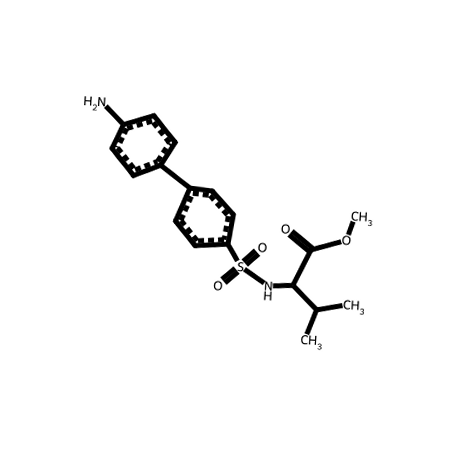 COC(=O)C(NS(=O)(=O)c1ccc(-c2ccc(N)cc2)cc1)C(C)C